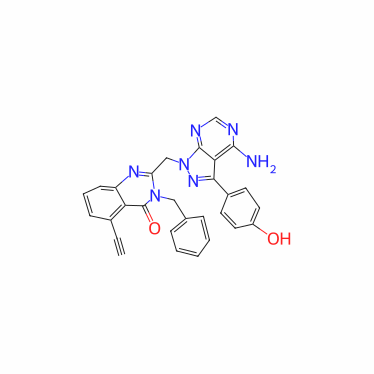 C#Cc1cccc2nc(Cn3nc(-c4ccc(O)cc4)c4c(N)ncnc43)n(Cc3ccccc3)c(=O)c12